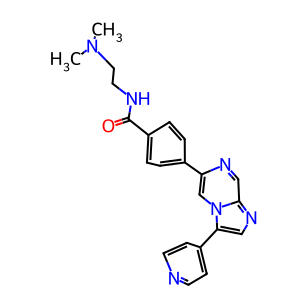 CN(C)CCNC(=O)c1ccc(-c2cn3c(-c4ccncc4)cnc3cn2)cc1